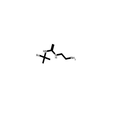 C=C(NCCN)NC(C)(C)C(C)=O